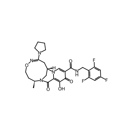 C[C@H]1CCO/N=C(/N2CCCC2)C[C@H]2CN1C(=O)c1c(O)c(=O)c(C(=O)NCc3c(F)cc(F)cc3F)cn12